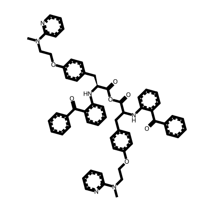 CN(CCOc1ccc(CC(Nc2ccccc2C(=O)c2ccccc2)C(=O)OC(=O)[C@H](Cc2ccc(OCCN(C)c3ccccn3)cc2)Nc2ccccc2C(=O)c2ccccc2)cc1)c1ccccn1